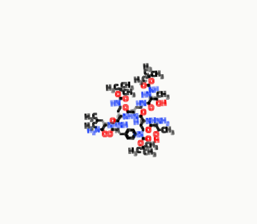 CC(C)C[C@H](NC(=O)[C@@H](Cc1ccccc1)NC(=O)[C@H](CCNC(=O)OC(C)(C)C)NC(=O)[C@H](CCNC(=O)[C@@H](NNC(=O)OC(C)(C)C)[C@H](C)O)NC(=O)[C@H](CCNC(=O)OC(C)(C)C)NC(=O)[C@@H](N)C(C)O)C(N)=O